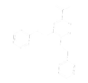 C=C(C)/C(N)=C/C(OCc1ccccc1)=C(\N)OCc1ccccc1